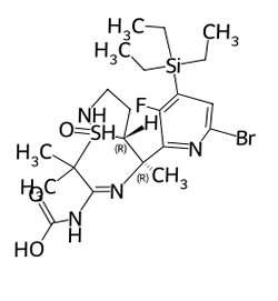 CC[Si](CC)(CC)c1cc(Br)nc([C@@]2(C)N=C(NC(=O)O)C(C)(C)[SH]3(=O)NCC[C@H]23)c1F